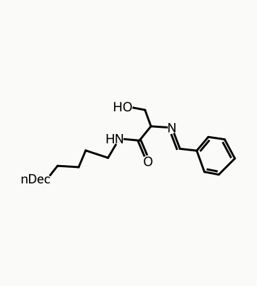 CCCCCCCCCCCCCCNC(=O)C(CO)N=Cc1ccccc1